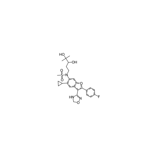 CC(C)(O)C(O)CCN(c1cc2oc(-c3ccc(F)cc3)c(C3=NOCN3)c2cc1C1CC1)S(C)(=O)=O